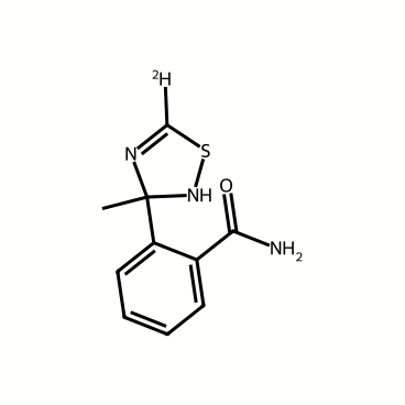 [2H]C1=NC(C)(c2ccccc2C(N)=O)NS1